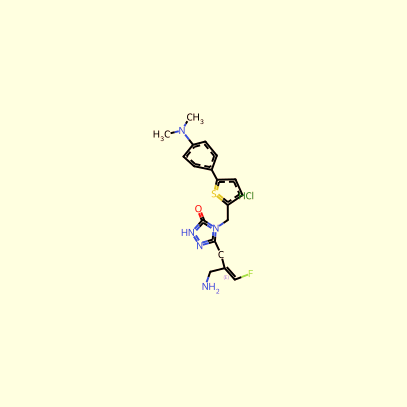 CN(C)c1ccc(-c2ccc(Cn3c(C/C(=C\F)CN)n[nH]c3=O)s2)cc1.Cl